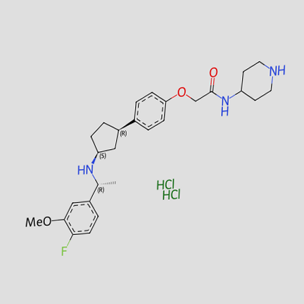 COc1cc([C@@H](C)N[C@H]2CC[C@@H](c3ccc(OCC(=O)NC4CCNCC4)cc3)C2)ccc1F.Cl.Cl